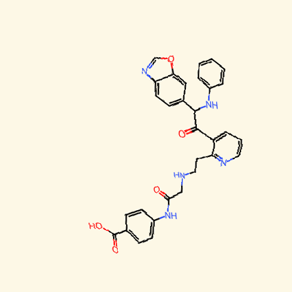 O=C(CNCCc1ncccc1C(=O)C(Nc1ccccc1)c1ccc2ncoc2c1)Nc1ccc(C(=O)O)cc1